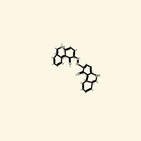 O=c1c(N=Nc2ccc3[nH]cc4ccccc4c-3c2=O)ccc2[nH]cc3ccccc3c1-2